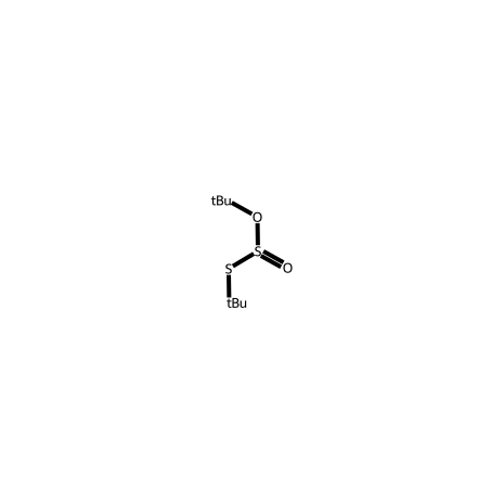 CC(C)(C)OS(=O)SC(C)(C)C